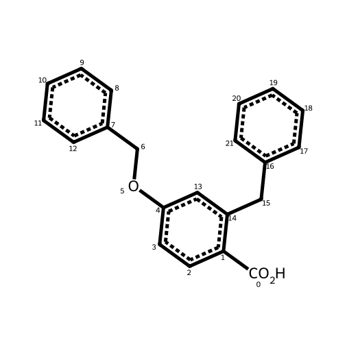 O=C(O)c1ccc(OCc2ccccc2)cc1Cc1ccccc1